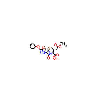 COC(=O)CC1=C(C(=O)O)N2C(=O)[C@@H](NC(=O)COc3ccccc3)[C@@H]2SC1